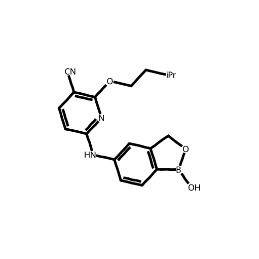 CC(C)CCOc1nc(Nc2ccc3c(c2)COB3O)ccc1C#N